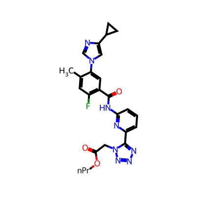 CCCOC(=O)Cn1nnnc1-c1cccc(NC(=O)c2cc(-n3cnc(C4CC4)c3)c(C)cc2F)n1